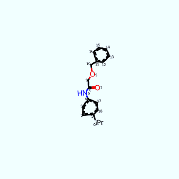 CC(C)c1ccc(NC(=O)COCc2ccccc2)cc1